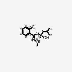 CON=C(OP(=O)(O)CC(C)C)c1ccccc1F